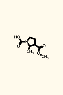 COC(=O)C1CCN(C(=O)O)C1C